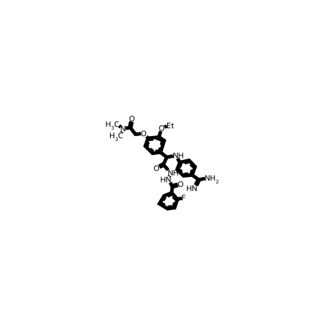 CCOc1cc(C(Nc2ccc(C(=N)N)cc2)C(=O)NNC(=O)c2ccccc2F)ccc1OCC(=O)N(C)C